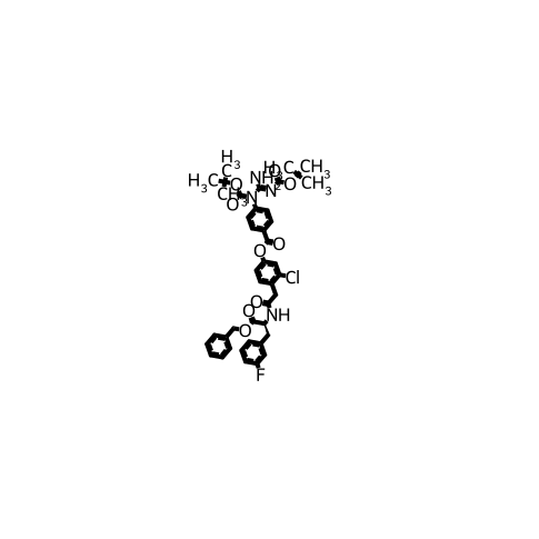 CC(C)(C)OC(=O)N=C(N)N(C(=O)OC(C)(C)C)c1ccc(C(=O)Oc2ccc(CC(=O)N[C@@H](Cc3cccc(F)c3)C(=O)OCc3ccccc3)c(Cl)c2)cc1